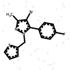 Cc1nn(Cc2cccs2)c(-c2ccc(F)cc2)c1Br